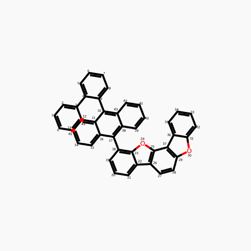 c1ccc(-c2ccccc2-c2c3ccccc3c(-c3cccc4c3oc3c4ccc4oc5ccccc5c43)c3ccccc23)cc1